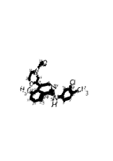 Cc1ccc(Nc2ncc(C3CN(C=O)CCO3)c3c(C)cccc23)cc1Cl